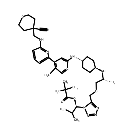 Cc1cnc(N[C@H]2CC[C@H](N[C@H](C)COCc3nnnn3[C@H](OC(=O)C(C)(C)C)C(C)C)CC2)cc1-c1cccc(NCC2(C#N)CCOCC2)n1